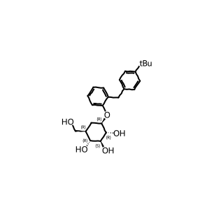 CC(C)(C)c1ccc(Cc2ccccc2O[C@@H]2C[C@H](CO)[C@@H](O)[C@H](O)[C@H]2O)cc1